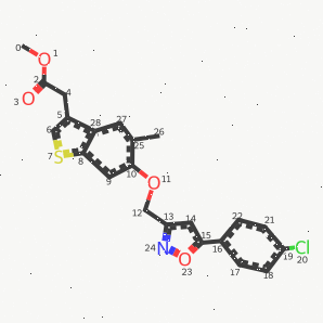 COC(=O)Cc1csc2cc(OCc3cc(-c4ccc(Cl)cc4)on3)c(C)cc12